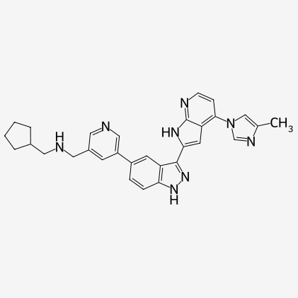 Cc1cn(-c2ccnc3[nH]c(-c4n[nH]c5ccc(-c6cncc(CNCC7CCCC7)c6)cc45)cc23)cn1